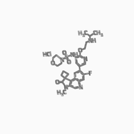 CC(C)NCCOc1ncc(-c2cc3c4c(cnc3cc2F)N(C)C(=O)C42CCC2)cc1NS(=O)(=O)N1CCOCC1.Cl